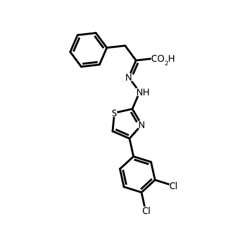 O=C(O)C(Cc1ccccc1)=NNc1nc(-c2ccc(Cl)c(Cl)c2)cs1